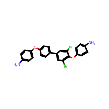 Nc1ccc(Oc2ccc(-c3cc(Br)c(Oc4ccc(N)cc4)c(Br)c3)cc2)cc1